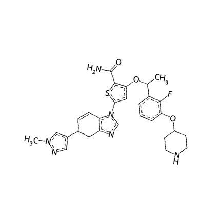 CC(Oc1cc(-n2cnc3c2C=CC(c2cnn(C)c2)C3)sc1C(N)=O)c1cccc(OC2CCNCC2)c1F